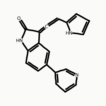 O=C1Nc2ccc(-c3cccnc3)cc2C1=C=Cc1ccc[nH]1